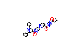 CC(C)CC(=O)N1CCN(C(=O)[C@@H]2CCCN(C3CCN(C(=O)c4cc(-c5ccccc5)nc(-c5ccccc5)c4)CC3)C2)CC1